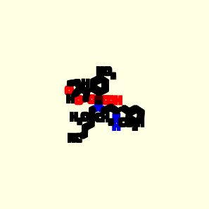 CC(C)(CCCC#N)CN(C[C@@H](O)[C@H](Cc1ccccc1)NC(=O)O)S(=O)(=O)c1ccc([N+](=O)[O-])cc1[C@@H]1CO[C@H]2OCC[C@H]21